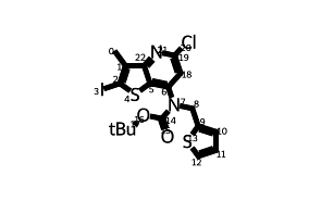 Cc1c(I)sc2c(N(Cc3cccs3)C(=O)OC(C)(C)C)cc(Cl)nc12